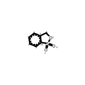 O=S1(=O)O[C]c2ccccc21